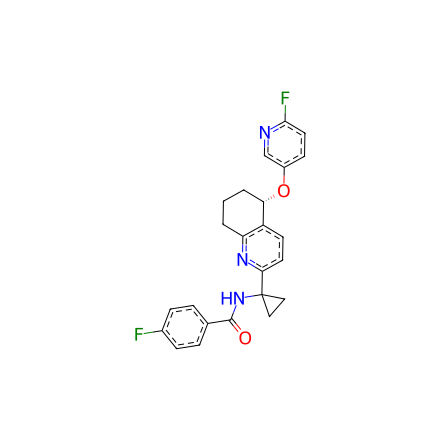 O=C(NC1(c2ccc3c(n2)CCC[C@@H]3Oc2ccc(F)nc2)CC1)c1ccc(F)cc1